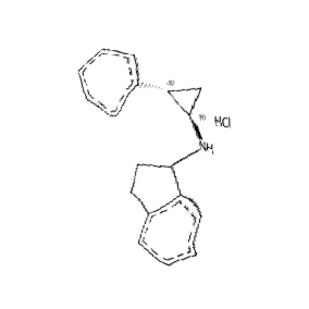 Cl.c1ccc([C@@H]2C[C@H]2NC2CCc3ccccc32)cc1